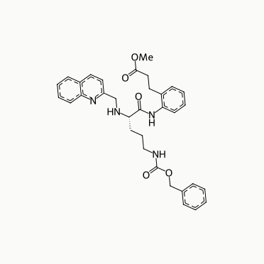 COC(=O)CCc1ccccc1NC(=O)[C@H](CCCNC(=O)OCc1ccccc1)NCc1ccc2ccccc2n1